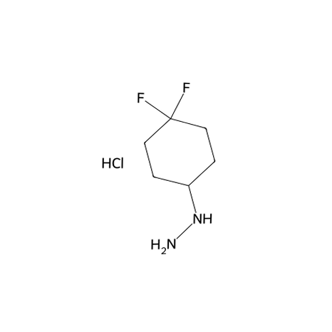 Cl.NNC1CCC(F)(F)CC1